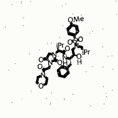 COc1ccc(S(=O)(=O)N(CC(C)C)C[C@@H](O)[C@H](Cc2ccccc2)NC(=O)[C@H](C(C)C)N2CC(=O)N(CC(=O)N3CCOCC3)C2=O)cc1